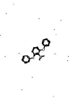 CN(C)c1c(Oc2ccccc2)cccc1Oc1ccccc1